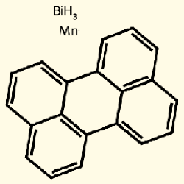 [BiH3].[Mn].c1cc2cccc3c4cccc5cccc(c(c1)c23)c54